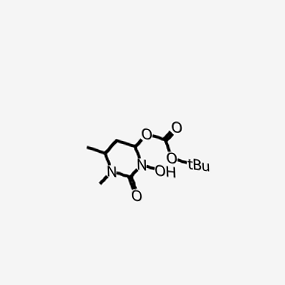 CC1CC(OC(=O)OC(C)(C)C)N(O)C(=O)N1C